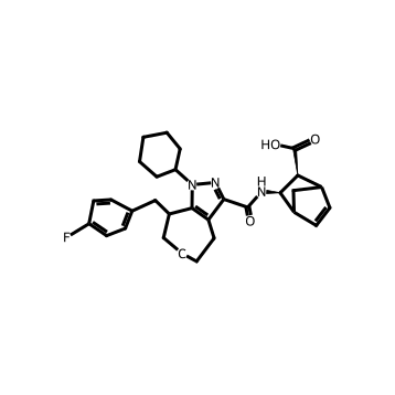 O=C(N[C@@H]1C2C=CC(C2)[C@@H]1C(=O)O)c1nn(C2CCCCC2)c2c1CCCCC2Cc1ccc(F)cc1